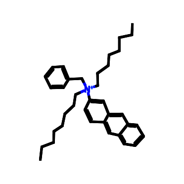 CCCCCCCC[N+](CCCCCCCC)(Cc1ccccc1)c1ccc2cc3ccccc3cc2c1